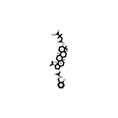 C=C(C)[C@@H]1C[C@@H](CC(=O)NCc2ccccc2Cl)C2CC[C@]3(C)[C@H](CC[C@@H]4[C@@]5(C)CC[C@H](OC(=O)CC(C)(C)C(=O)O)C(C)(C)[C@@H]5CC[C@]43C)[C@H]21